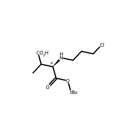 CC(C(=O)O)[C@@H](NCCCCl)C(=O)OC(C)(C)C